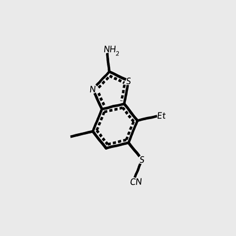 CCc1c(SC#N)cc(C)c2nc(N)sc12